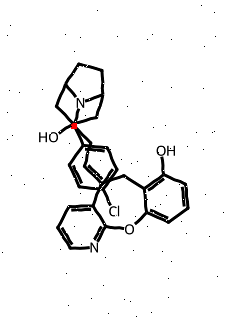 Oc1cccc2c1CC(=CCCN1C3CCC1CC(O)(c1ccc(Cl)cc1)C3)c1cccnc1O2